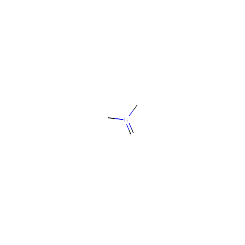 C[N+](C)=[13CH2]